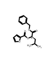 CC(C)C[C@@H](OC(=O)c1ccco1)C(=O)OCc1ccccc1